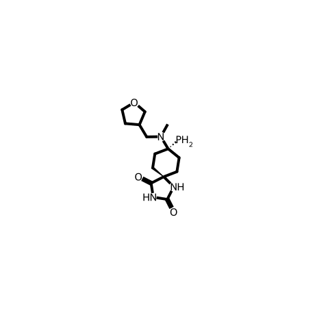 CN(CC1CCOC1)[C@]1(P)CC[C@@]2(CC1)NC(=O)NC2=O